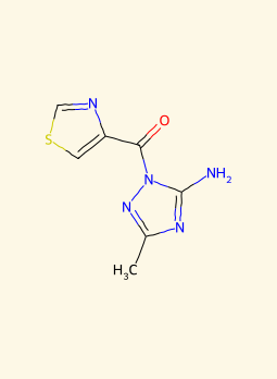 Cc1nc(N)n(C(=O)c2cscn2)n1